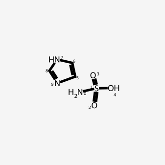 NS(=O)(=O)O.c1c[nH]cn1